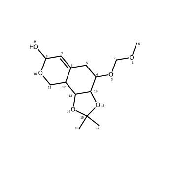 COCOC1CC2=CC(O)OCC2C2OC(C)(C)OC12